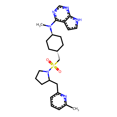 Cc1cccc(CC2CCCN2S(=O)(=O)C[C@H]2CC[C@H](N(C)c3ncnc4[nH]ccc34)CC2)n1